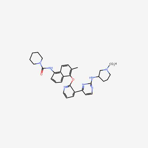 Cc1ccc2c(NC(=O)N3CCCCC3)cccc2c1Oc1ncccc1-c1ccnc(NC2CCCN(C(=O)O)C2)n1